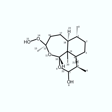 C[C@@H]1CC[C@H]2[C@@H](C)C(O)O[C@@H]3O[C@@](C)(OO)CC[C@@H]1C32I